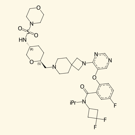 CC(C)N(C(=O)c1cc(F)ccc1Oc1cncnc1N1CC2(CCN(C[C@@H]3CC[C@@H](NS(=O)(=O)N4CCOCC4)CO3)CC2)C1)C1CC(F)(F)C1